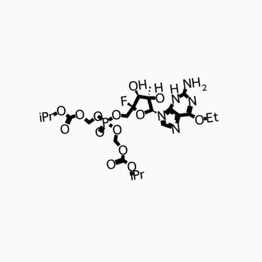 CCOC1=NC(N)Nc2c1ncn2[C@@H]1O[C@](F)(COP(=O)(OCOC(=O)OC(C)C)OCOC(=O)OC(C)C)[C@@H](O)[C@@]1(C)O